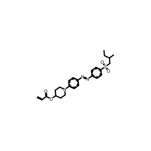 C=CC(=O)OC1CCN(c2ccc(/N=N/c3ccc(S(=O)(=O)CC(C)CC)cc3)cc2)CC1